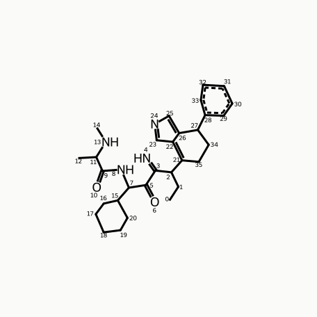 CCC(C(=N)C(=O)C(NC(=O)C(C)NC)C1CCCCC1)C1=C2C=NC=C2C(c2ccccc2)CC1